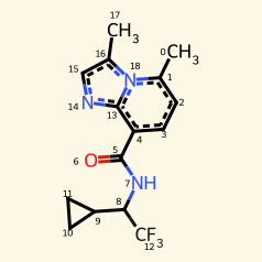 Cc1ccc(C(=O)NC(C2CC2)C(F)(F)F)c2ncc(C)n12